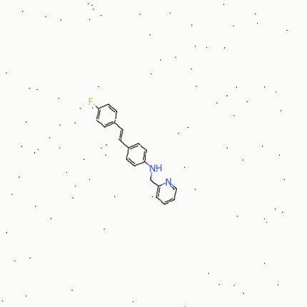 Fc1ccc(/C=C/c2ccc(NCc3ccccn3)cc2)cc1